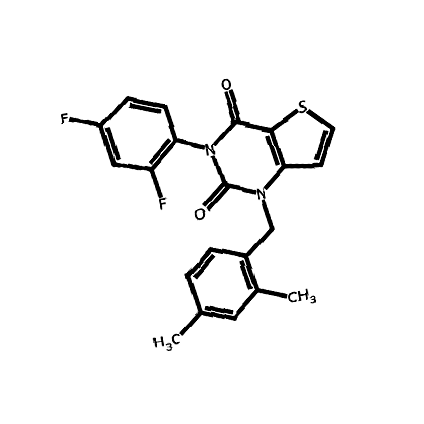 Cc1ccc(Cn2c(=O)n(-c3ccc(F)cc3F)c(=O)c3sccc32)c(C)c1